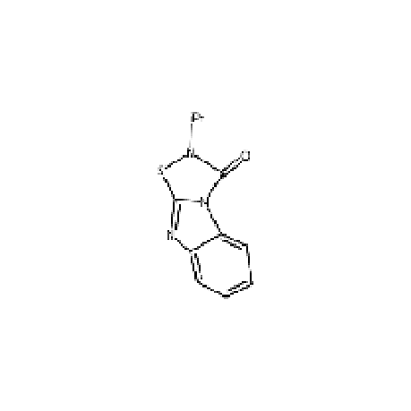 CC(C)n1sc2nc3ccccc3n2c1=O